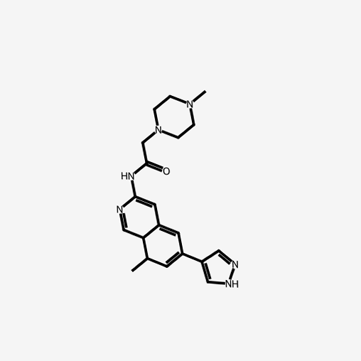 CC1C=C(c2cn[nH]c2)C=C2C=C(NC(=O)CN3CCN(C)CC3)N=CC21